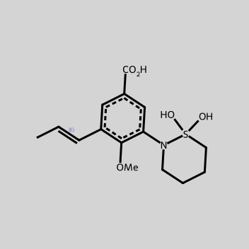 C/C=C/c1cc(C(=O)O)cc(N2CCCCS2(O)O)c1OC